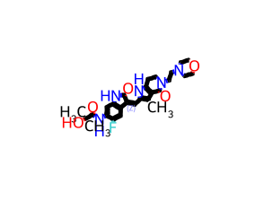 Cc1c(/C=C2\C(=O)Nc3cc(NC(=O)C(C)(C)O)c(F)cc32)[nH]c2c1C(=O)N(CCN1CCOCC1)CC2